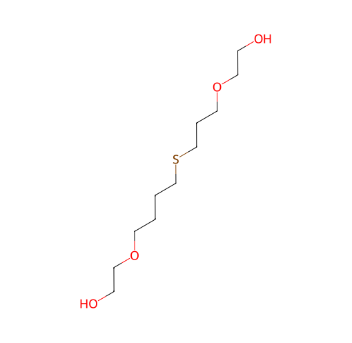 OCCOCCCCSCCCOCCO